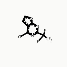 FC(F)(F)C(F)(F)c1nc(Cl)c2ccsc2n1